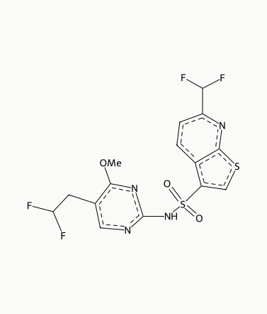 COc1nc(NS(=O)(=O)c2csc3nc(C(F)F)ccc23)ncc1CC(F)F